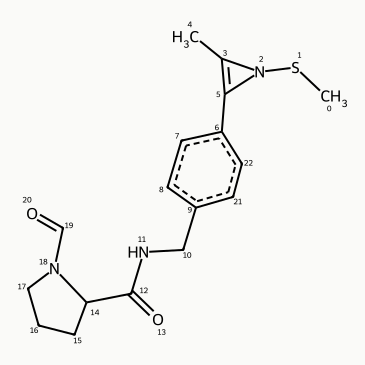 CSN1C(C)=C1c1ccc(CNC(=O)C2CCCN2C=O)cc1